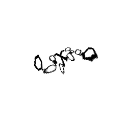 C1CCC(OP2OCC3(CO2)COP(OC2CCCCC2)OC3)CC1